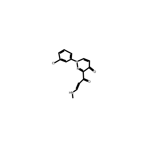 CNC=CC(=O)c1nn(-c2cccc(Cl)c2)ccc1=O